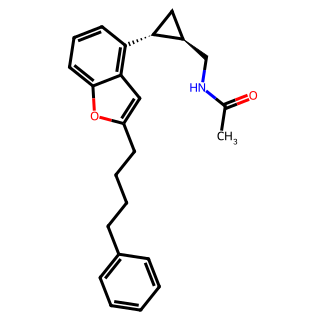 CC(=O)NC[C@@H]1C[C@H]1c1cccc2oc(CCCCc3ccccc3)cc12